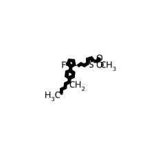 C=C(CCCCC)c1ccc(C2=C(F)CC[C@@H]2CCCc2ccc(C(=O)OC)s2)cc1